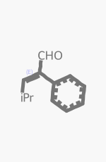 CC(C)/C=C(/C=O)c1ccccc1